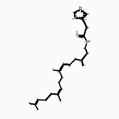 CC(C)=CCCC(C)=CCCC(C)=CCCC(C)=CCNC(=O)Cc1c[nH]cn1